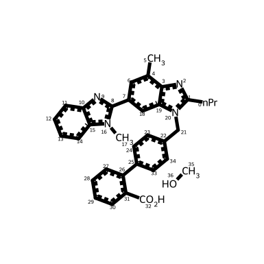 CCCc1nc2c(C)cc(-c3nc4ccccc4n3C)cc2n1Cc1ccc(-c2ccccc2C(=O)O)cc1.CO